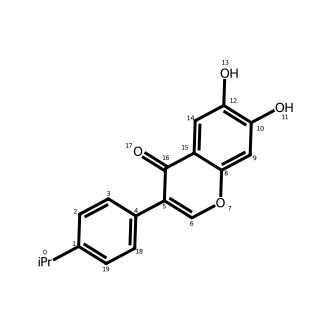 CC(C)c1ccc(-c2coc3cc(O)c(O)cc3c2=O)cc1